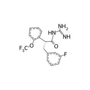 N=C(N)NC(=O)[C@H](Cc1cccc(F)c1)c1ccccc1OC(F)(F)F